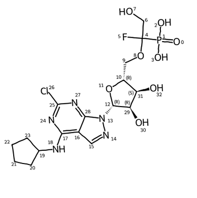 O=P(O)(O)C(F)(CO)OC[C@H]1O[C@@H](n2ncc3c(NC4CCCC4)nc(Cl)nc32)[C@H](O)[C@@H]1O